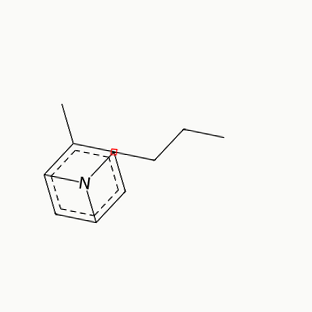 CCCCN1c2ccc(C)c1c2